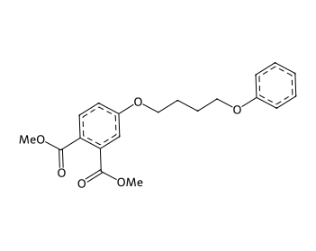 COC(=O)c1ccc(OCCCCOc2ccccc2)cc1C(=O)OC